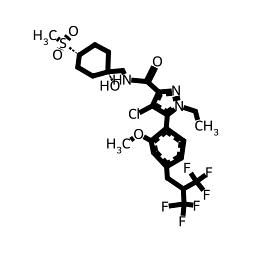 CCn1nc(C(=O)NC[C@]2(O)CC[C@@H](S(C)(=O)=O)CC2)c(Cl)c1-c1ccc(CC(C(F)(F)F)C(F)(F)F)cc1OC